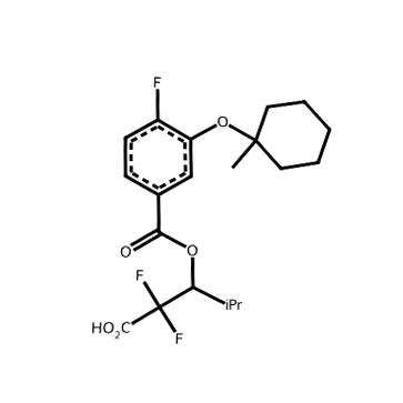 CC(C)C(OC(=O)c1ccc(F)c(OC2(C)CCCCC2)c1)C(F)(F)C(=O)O